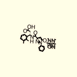 CNC(C)(NC)[C@](O)(COc1cc(C(=O)N[C@@H](CC(=O)O)c2cccc(C)c2C)nn1-c1ccccc1)NC